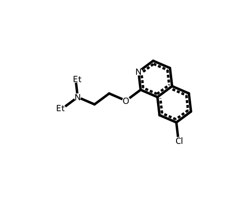 CCN(CC)CCOc1nccc2ccc(Cl)cc12